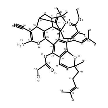 COC(=O)/C(C)=C\CC12OC(C)(C)C3CC(C1=O)C1C(C#N)=C(N)OC4=C1C32Oc1c(CC=C(C)C)c2c(c(OC(=O)CCl)c14)C=CC(C)(CCC=C(C)C)O2